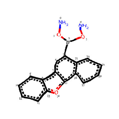 NOB(ON)c1cc2c3ccccc3oc2c2ccccc12